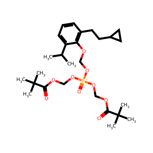 CC(C)c1cccc(CCC2CC2)c1OCOP(=O)(OCOC(=O)C(C)(C)C)OCOC(=O)C(C)(C)C